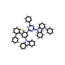 c1ccc(-c2nc(-c3cc(-n4c5ccccc5c5ccccc54)cc4c3sc3cccc(-c5ccccc5)c34)nc(-n3c4ccccc4c4c(-c5ccccc5)cccc43)n2)cc1